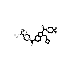 CC(C)N1CCN(C(=O)c2ccc3c(c2)cc(C(=O)N2CCC(F)(F)CC2)n3CC2CCC2)CC1